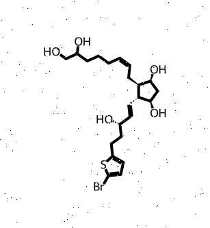 OCC(O)CCC/C=C\C[C@@H]1[C@@H](/C=C/[C@@H](O)CCc2ccc(Br)s2)[C@H](O)C[C@@H]1O